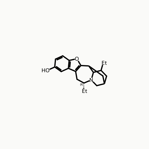 CCC1CC2CC3c4oc5ccc(O)cc5c4C[C@@H](CC)N(C2)C13